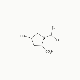 CCC(CC)N1CC(O)CC1C(=O)O